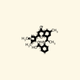 Cc1cc([C@@H](C)Nc2ccccc2C(=O)O)c2oc(-c3cc(C)n(C)n3)cc(=O)c2c1